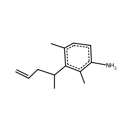 C=CCC(C)c1c(C)ccc(N)c1C